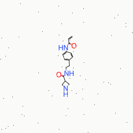 C=CC(=O)Nc1ccc(CCNC(=O)C2CNC2)cc1